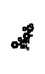 Cc1cc(NC(=O)C(N)c2ccccc2)ccc1N1CCOCC1=O